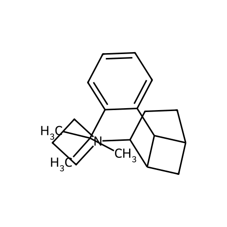 CC(C)(C)c1ccccc1C1C2CCC(N3CCC3)C1C2